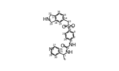 CC(NC(=O)Nc1ccc(S(=O)(=O)Cc2ccc3c(c2)CNC3)cc1)c1ccncc1